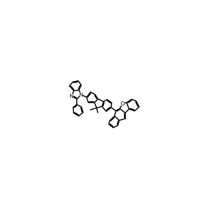 CC1(C)c2cc(-c3c4ccccc4cc4c3oc3ccccc34)ccc2-c2ccc(-n3c(-c4ccccc4)nc4ccccc43)cc21